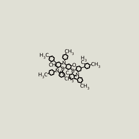 Cc1ccc(N2c3ccc(C)cc3B3c4cc5c(cc4N(c4ccc(C)cc4)c4cc(-c6ccc(C)cc6C)cc2c43)Oc2cc(-c3ccc(C)cc3C)cc3c2B5c2c(C)ccc4c5cc(C)ccc5n-3c24)cc1